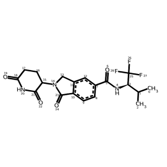 CC(C)[C@@H](NC(=O)c1ccc2c(c1)CN(C1CCC(=O)NC1=O)C2=O)C(F)(F)F